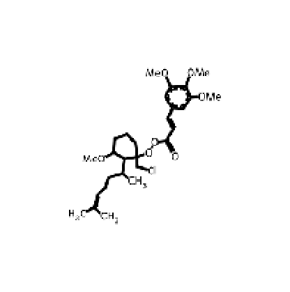 COc1cc(C=CC(=O)OOC2(CCl)CCCC(OC)C2C(C)CCC=C(C)C)cc(OC)c1OC